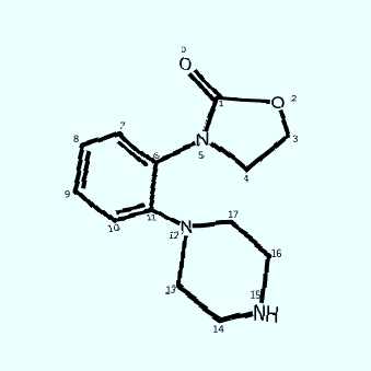 O=C1OCCN1c1ccccc1N1CCNCC1